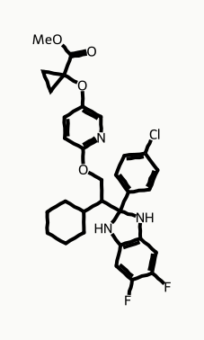 COC(=O)C1(Oc2ccc(OCC(C3CCCCC3)C3(c4ccc(Cl)cc4)Nc4cc(F)c(F)cc4N3)nc2)CC1